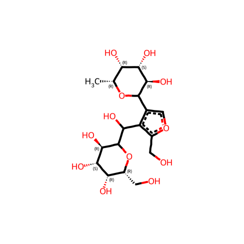 C[C@H]1OC(c2coc(CO)c2C(O)C2O[C@H](CO)[C@H](O)[C@H](O)[C@H]2O)[C@H](O)[C@@H](O)[C@H]1O